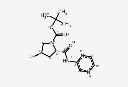 CC(C)(C)OC(=O)N1C[C@H](F)C[C@H]1C(=O)Nc1cnccn1